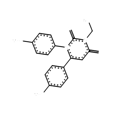 COc1ccc(-n2c(-c3ccc(SC)cc3)cc(=O)n(CC#N)c2=O)cc1